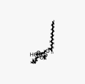 CCCCCCCCCCCCCCC(C)COCC(COP(=O)(O)CCC[N+](C)(C)C)OC(C)=O